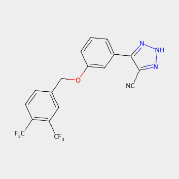 N#Cc1n[nH]nc1-c1cccc(OCc2ccc(C(F)(F)F)c(C(F)(F)F)c2)c1